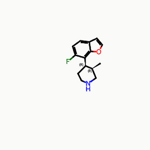 C[C@H]1CNCC[C@H]1c1c(F)ccc2ccoc12